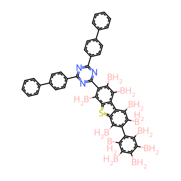 Bc1c(B)c(B)c(-c2c(B)c(B)c3c(sc4c(B)c(-c5nc(-c6ccc(-c7ccccc7)cc6)nc(-c6ccc(-c7ccccc7)cc6)n5)c(B)c(B)c43)c2B)c(B)c1B